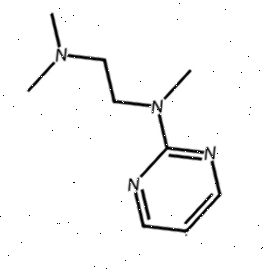 CN(C)CCN(C)c1nc[c]cn1